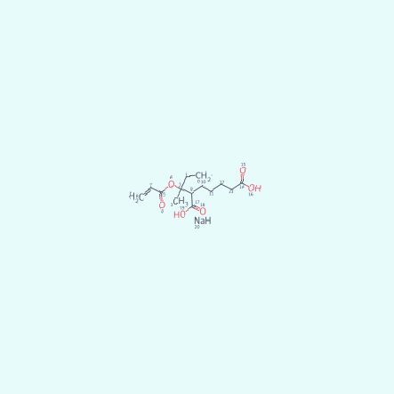 [CH2]CC(C)(OC(=O)C=C)C(CCCCC(=O)O)C(=O)O.[NaH]